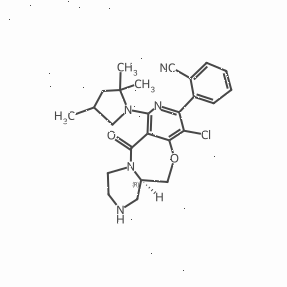 CC1CN(c2nc(-c3ccccc3C#N)c(Cl)c3c2C(=O)N2CCNC[C@@H]2CO3)C(C)(C)C1